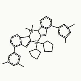 Cc1cc(C)cc(-c2cccc3c2C=C2[CH]3[Hf]([CH3])([CH3])[CH]3C(=Cc4c(-c5cc(C)cc(C)c5)cccc43)[Si]2(C2CCCC2)C2CCCC2)c1